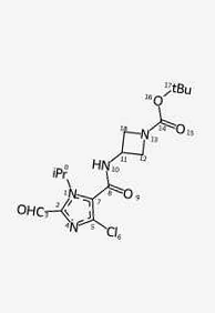 CC(C)n1c(C=O)nc(Cl)c1C(=O)NC1CN(C(=O)OC(C)(C)C)C1